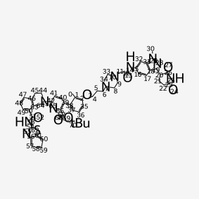 Cc1c(OCCCN2CCN(CC(=O)Nc3ccc4c(C5CCC(=O)NC5=O)nn(C)c4c3)CC2)cccc1-c1ccc(N2CCc3cccc(C(=O)Nc4nc5ccccc5s4)c3C2)nc1C(=O)OC(C)(C)C